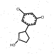 ON1CCC(c2cc(Cl)cc(Cl)c2)C1